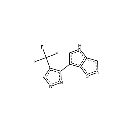 FC(F)(F)c1snnc1-c1c[nH]c2cnsc12